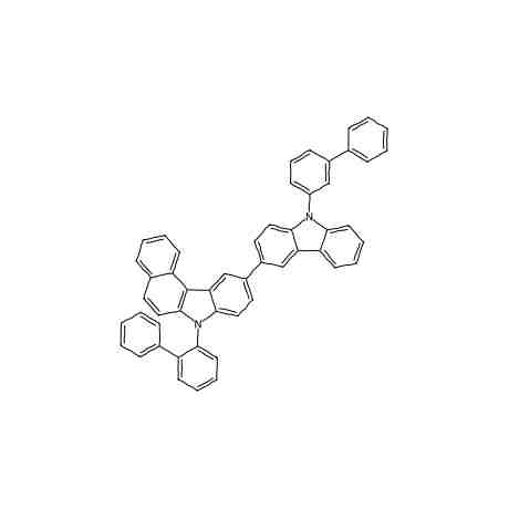 c1ccc(-c2cccc(-n3c4ccccc4c4cc(-c5ccc6c(c5)c5c7ccccc7ccc5n6-c5ccccc5-c5ccccc5)ccc43)c2)cc1